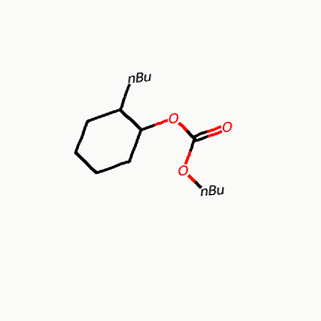 CCCCOC(=O)OC1CCCCC1CCCC